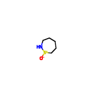 [O-][S+]1CCCCCN1